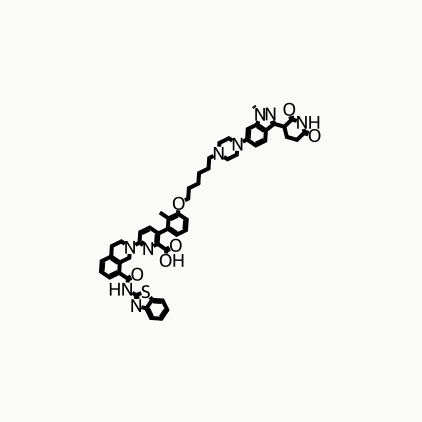 Cc1c(OCCCCCCN2CCN(c3ccc4c(C5CCC(=O)NC5=O)nn(C)c4c3)CC2)cccc1-c1ccc(N2CCc3cccc(C(=O)Nc4nc5ccccc5s4)c3C2)nc1C(=O)O